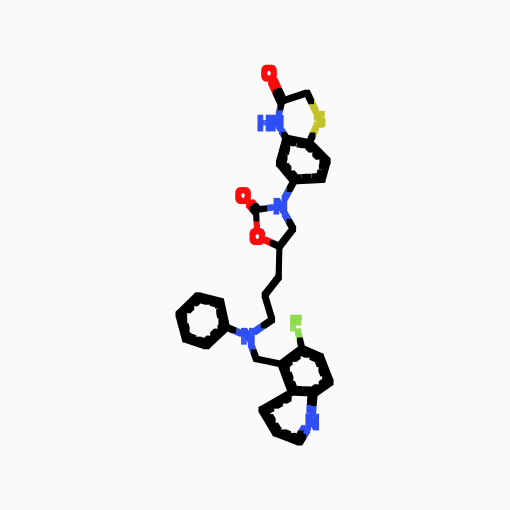 O=C1CSc2ccc(N3CC(CCCN(Cc4c(F)ccc5ncccc45)c4ccccc4)OC3=O)cc2N1